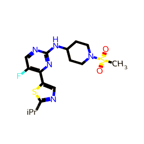 CC(C)c1ncc(-c2nc(NC3CCN(S(C)(=O)=O)CC3)ncc2F)s1